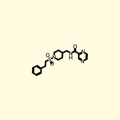 O=C(NCC1CCN(S(=O)(=O)CCc2ccccc2)CC1)c1cnccn1